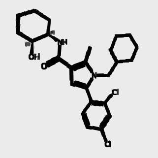 Cc1c(C(=O)N[C@@H]2CCCC[C@@H]2O)cc(-c2ccc(Cl)cc2Cl)n1CC1CCCCC1